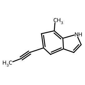 CC#Cc1cc(C)c2[nH]ccc2c1